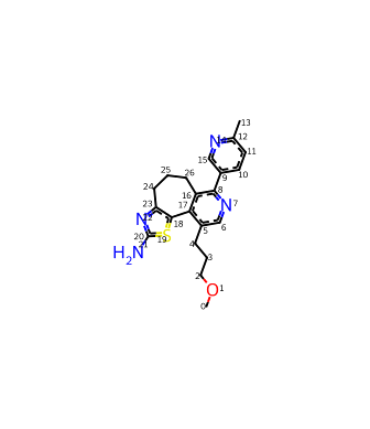 COCCCc1cnc(-c2ccc(C)nc2)c2c1-c1sc(N)nc1CCC2